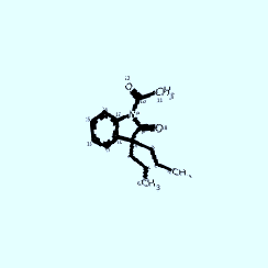 CCCC1(CCC)C(=O)N(C(C)=O)c2ccccc21